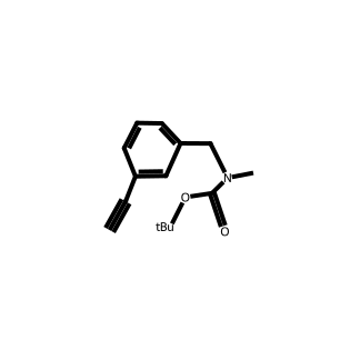 C#Cc1cccc(CN(C)C(=O)OC(C)(C)C)c1